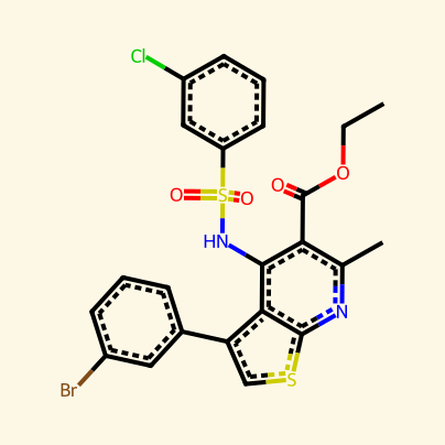 CCOC(=O)c1c(C)nc2scc(-c3cccc(Br)c3)c2c1NS(=O)(=O)c1cccc(Cl)c1